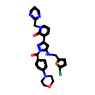 O=C(c1ccc(N2CCOCC2)cc1)n1nc(-c2cccn(Cc3ncccn3)c2=O)cc1NCc1ccc(Cl)s1